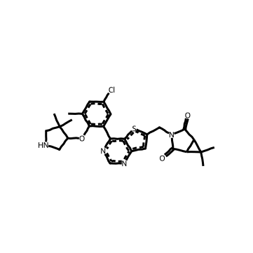 Cc1cc(Cl)cc(-c2ncnc3cc(CN4C(=O)C5C(C4=O)C5(C)C)sc23)c1OC1CNCC1(C)C